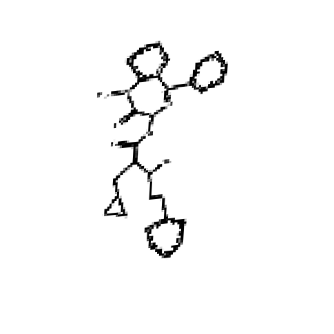 CN1C(=O)C(NC(=O)C(CC2CC2)C(O)CCc2ccccc2)N=C(c2ccccc2)c2ccccc21